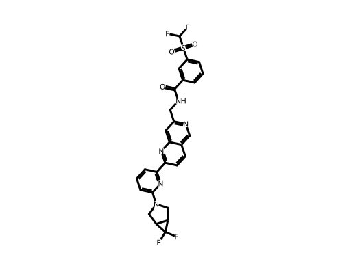 O=C(NCc1cc2nc(-c3cccc(N4CC5C(C4)C5(F)F)n3)ccc2cn1)c1cccc(S(=O)(=O)C(F)F)c1